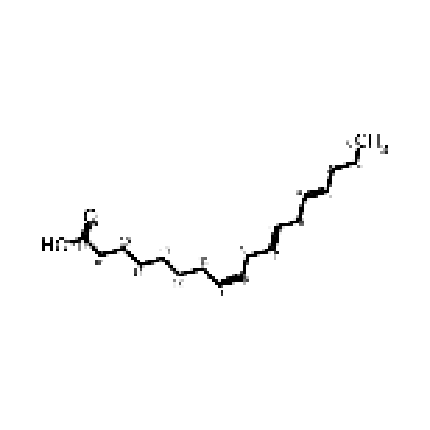 CCCC=CCC=CC/C=C\CCCCCCC(=O)O